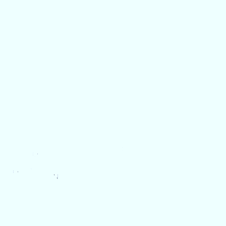 CCCCCCCCCCCC(=O)CCCC[N+](C)(C)CC(=O)[O-]